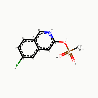 O=S(=O)(Oc1cc2cc(F)ccc2cn1)C(F)(F)F